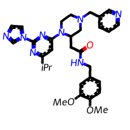 COc1ccc(CNC(=O)CC2CN(Cc3cccnc3)CCN2c2cc(C(C)C)nc(-n3ccnc3)n2)cc1OC